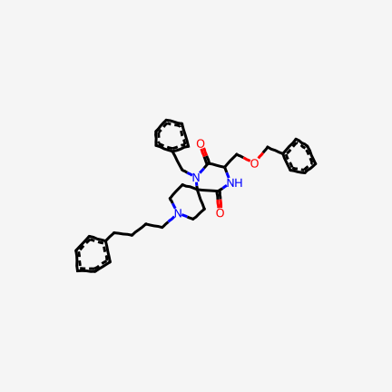 O=C1C(COCc2ccccc2)NC(=O)C2(CCN(CCCCc3ccccc3)CC2)N1Cc1ccccc1